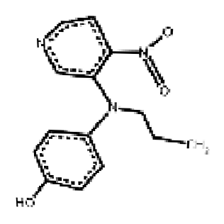 CCCN(c1ccc(O)cc1)c1cnccc1[N+](=O)[O-]